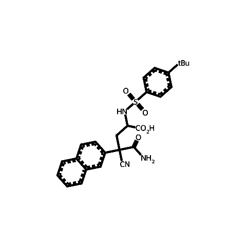 CC(C)(C)c1ccc(S(=O)(=O)NC(CC(C#N)(C(N)=O)c2ccc3ccccc3c2)C(=O)O)cc1